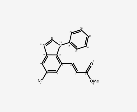 COC(=O)C=Cc1cc(C#N)cc2ncn(-c3ccccc3)c12